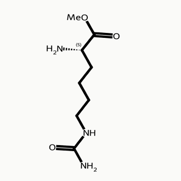 COC(=O)[C@@H](N)CCCCNC(N)=O